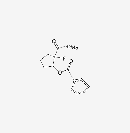 COC(=O)C1(F)CCCC1OC(=O)c1ccccc1